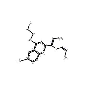 C/C=C\S/C(=C\C)c1cc(OCCO)c2cc(N)ccc2n1